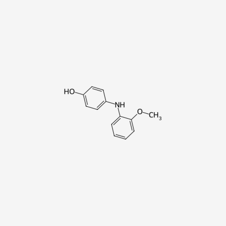 COc1ccccc1Nc1ccc(O)cc1